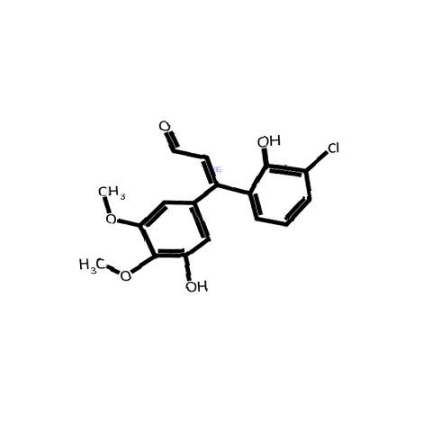 COc1cc(/C(=C\C=O)c2cccc(Cl)c2O)cc(O)c1OC